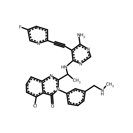 CNCc1cccc(-n2c(C(C)Nc3ncnc(N)c3C#Cc3ccc(F)cn3)nc3cccc(Cl)c3c2=O)c1